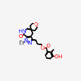 CCn1nc(CCCOC(=O)c2cccc(O)c2C)c2c1C(=O)NCC1(CCOCC1)C2